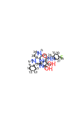 CN1CCC(N(C)C(c2ccccc2)c2nc(O)c(O)c(C(=O)NCc3ccc(F)cc3)n2)CC1